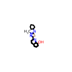 Cn1nc(-c2ccc3cccc(O)c3n2)s/c1=N/C1CCCCC1